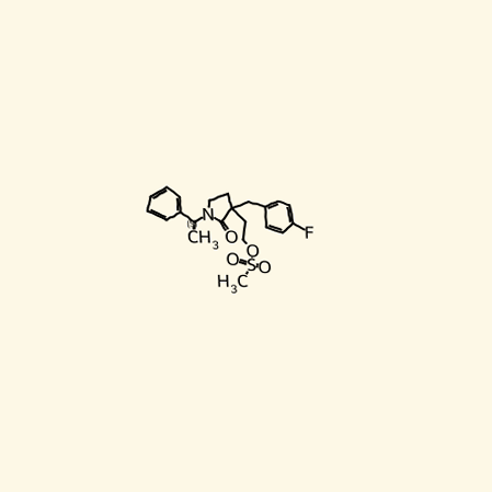 C[C@@H](c1ccccc1)N1CCC(CCOS(C)(=O)=O)(Cc2ccc(F)cc2)C1=O